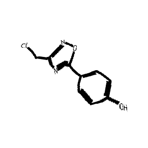 Oc1ccc(-c2nc(CCl)no2)cc1